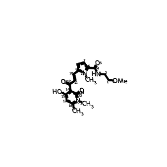 COCCNC(=O)c1ccc(C=CC(=O)c2c(O)cc(C)n(C)c2=O)n1C